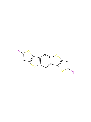 Ic1cc2sc3cc4c(cc3c2s1)sc1cc(I)sc14